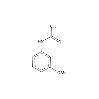 COc1cccc(NC(=O)C(F)(F)F)c1